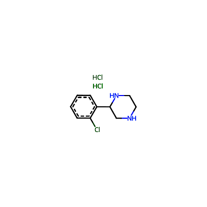 Cl.Cl.Clc1ccccc1C1CNCCN1